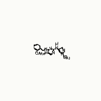 COc1ccccc1CNc1ccnc(Nc2cnn(C(C)(C)C)c2)n1